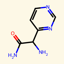 NC(=O)C(N)c1ccncn1